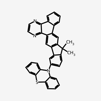 CC1(C)c2ccc(N3c4ccccc4Sc4ccccc43)cc2-c2cc3c(cc21)c1ccccc1c1nccnc31